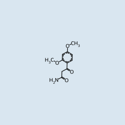 COc1ccc(C(=O)CC(N)=O)c(OC)c1